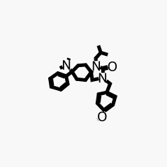 COc1ccc(CN2CC3(CCC(c4ccccc4)(N(C)C)CC3)N(CC(C)C)C2=O)cc1